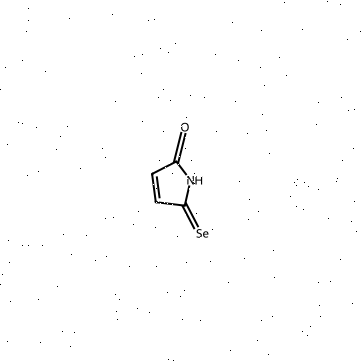 O=C1C=CC(=[Se])N1